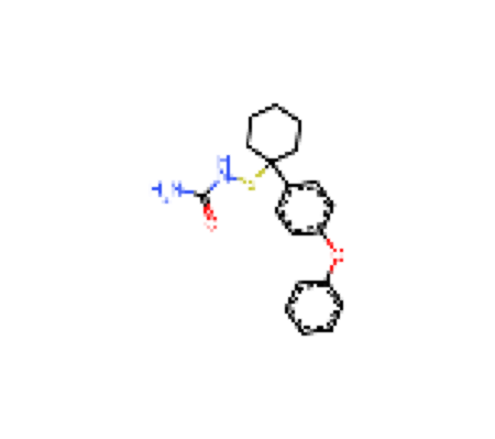 NC(=O)NSC1(c2ccc(Oc3ccccc3)cc2)CCCCC1